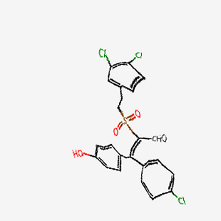 O=C/C(=C(/c1ccc(O)cc1)c1ccc(Cl)cc1)S(=O)(=O)Cc1ccc(Cl)c(Cl)c1